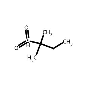 C[CH]C(C)(C)[SH](=O)=O